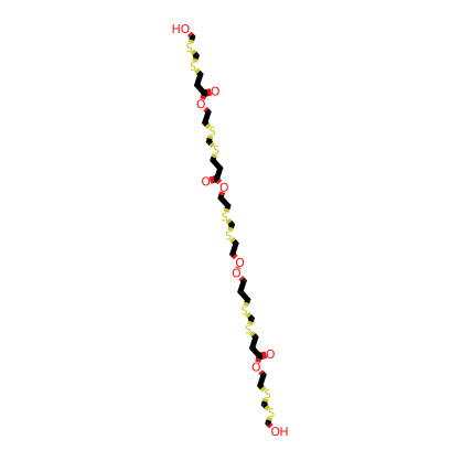 O=C(CCSCSCO)OCCSCSCCC(=O)OCCSCSCCOOCCCSCSCCC(=O)OCCSCSCO